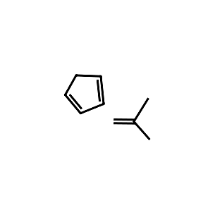 C1=CCC=C1.C=C(C)C